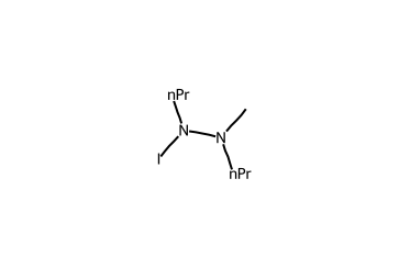 CCCN(C)N(I)CCC